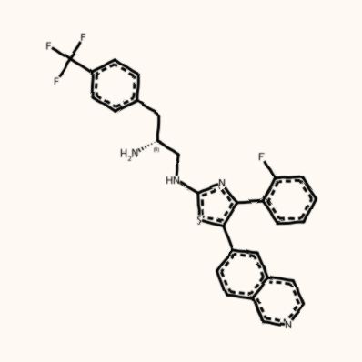 N[C@@H](CNc1nc(-c2ccccc2F)c(-c2ccc3cnccc3c2)s1)Cc1ccc(C(F)(F)F)cc1